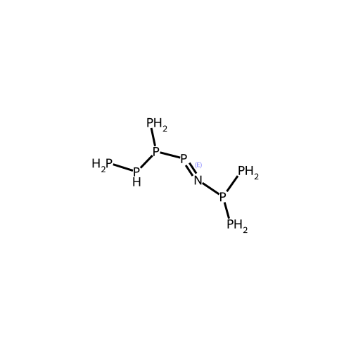 PPP(P)/P=N/P(P)P